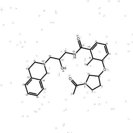 CC(=O)N1CCC(OC2C=CC=C(C(=O)NCC(O)CN3CCc4ccccc4C3)C2C)C1